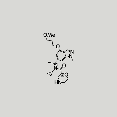 COCCCOc1cc([C@H](C)N(C(=O)[C@H]2CNCCO2)C2CC2)cc2c1cnn2C